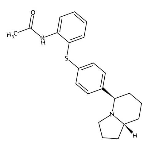 CC(=O)Nc1ccccc1Sc1ccc([C@H]2CCC[C@@H]3CCCN32)cc1